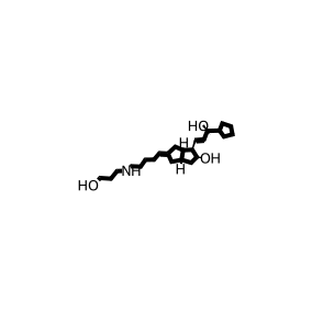 OCCCNCCCC/C=C1\C[C@H]2C[C@@H](O)[C@H](/C=C/[C@@H](O)C3CCCC3)[C@H]2C1